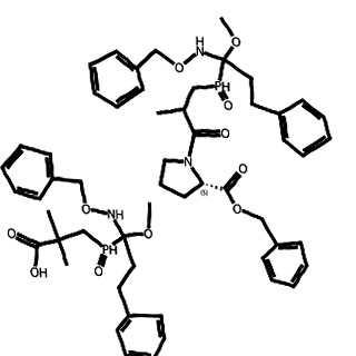 COC(CCc1ccccc1)(NOCc1ccccc1)[PH](=O)CC(C)(C)C(=O)O.COC(CCc1ccccc1)(NOCc1ccccc1)[PH](=O)CC(C)C(=O)N1CCC[C@H]1C(=O)OCc1ccccc1